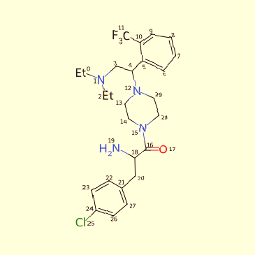 CCN(CC)CC(c1ccccc1C(F)(F)F)N1CCN(C(=O)C(N)Cc2ccc(Cl)cc2)CC1